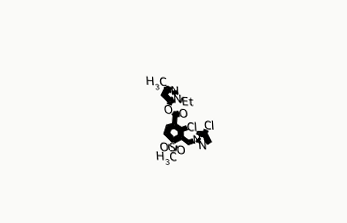 CCn1nc(C)cc1OC(=O)c1ccc(S(C)(=O)=O)c(Cn2cc(Cl)cn2)c1Cl